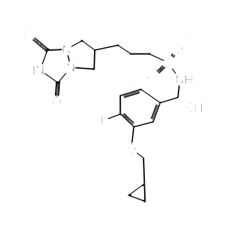 C[C@@H](NS(=O)(=O)CCCC1Cn2c(=O)[nH]c(=O)n2C1)c1ccc(F)c(OCC2CC2)c1